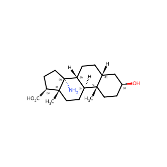 C[C@]12CC[C@H](O)C[C@H]1CC[C@@H]1[C@@H]2CC[C@]2(C)[C@@H](C(=O)O)CC[C@@]12N